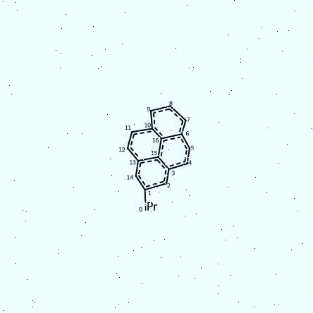 CC(C)c1cc2ccc3cccc4ccc(c1)c2c34